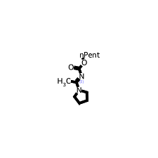 CCCCCOC(=O)/N=C(\C)N1C[CH]CC1